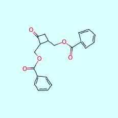 O=C(OCC1CC(=O)C1COC(=O)c1ccccc1)c1ccccc1